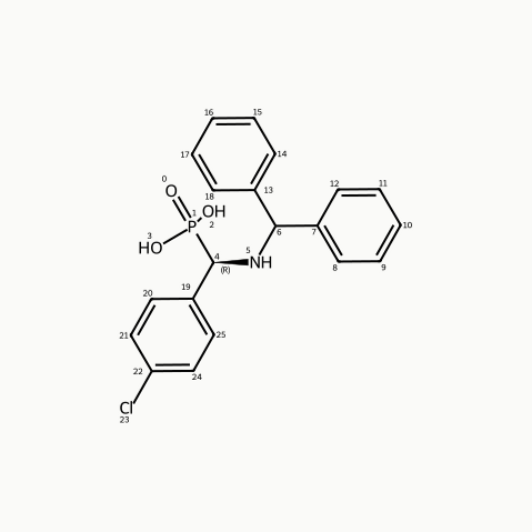 O=P(O)(O)[C@@H](NC(c1ccccc1)c1ccccc1)c1ccc(Cl)cc1